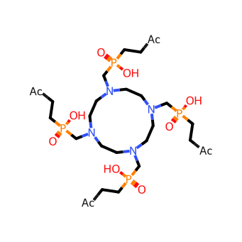 CC(=O)CCP(=O)(O)CN1CCN(CP(=O)(O)CCC(C)=O)CCN(CP(=O)(O)CCC(C)=O)CCN(CP(=O)(O)CCC(C)=O)CC1